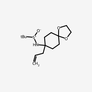 C=CCC1(N[S+]([O-])C(C)(C)C)CCC2(CC1)OCCO2